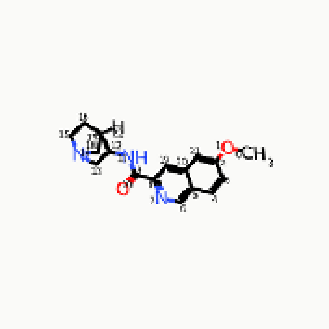 COc1ccc2cnc(C(=O)NC3CN4CC[C@H]3C4)cc2c1